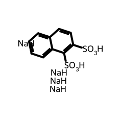 O=S(=O)(O)c1ccc2ccccc2c1S(=O)(=O)O.[NaH].[NaH].[NaH].[NaH]